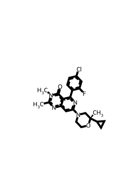 Cc1nc2cc(N3CCO[C@@](C)(C4CC4)C3)nc(-c3ccc(Cl)cc3F)c2c(=O)n1C